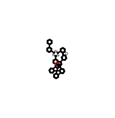 c1ccc(-c2cccc(-c3nc(-c4ccccc4)nc(-c4cccc5oc6ccc(-c7cccc(-c8cccc9c8C8(c%10ccccc%10-c%10ccccc%108)c8ccccc8-9)c7)cc6c45)n3)c2)cc1